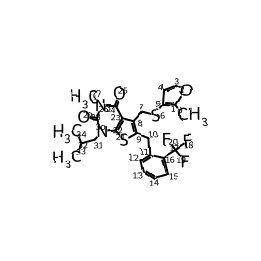 Cc1occc1SCc1c(Cc2ccccc2C(F)(F)F)sc2c1c(=O)n(C)c(=O)n2CC(C)C